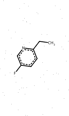 CCc1ccc(F)cn1